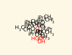 Cc1ccc(Oc2cc3c(C(C)(C)C(C)C)cc(C(C)(C)C(C)C)cc3cc2C(C)(C)C(C)C)c(-c2cc3c(C(C)(C)C(C)C)cc(C(C)(C)C(C)C)cc3cc2C(C)(C)C(C)C)c1.OP(O)O